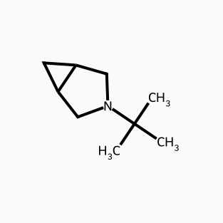 CC(C)(C)N1CC2CC2C1